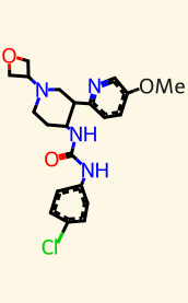 COc1ccc(C2CN(C3COC3)CCC2NC(=O)Nc2ccc(Cl)cc2)nc1